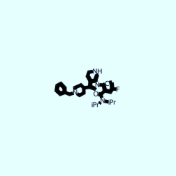 CC(C)N(C(=O)c1cc(F)ccc1-n1cc(C2CCN(Cc3ccccc3)CC2)c2c1=CNCC=2)C(C)C